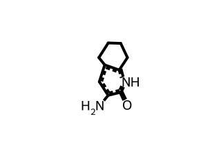 Nc1cc2c([nH]c1=O)CCCC2